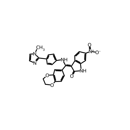 Cn1ccnc1-c1ccc(NC(=C2C(=O)Nc3cc([N+](=O)[O-])ccc32)c2ccc3c(c2)OCCO3)cc1